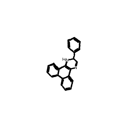 C1=Nc2c(c3ccccc3c3ccccc23)N[C]1c1ccccc1